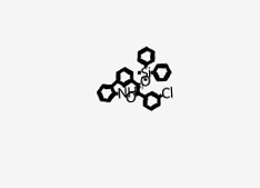 C[Si](O[C@H](C(=O)c1cccc(Cl)c1)c1cccc2c1[nH]c1ccccc12)(c1ccccc1)c1ccccc1